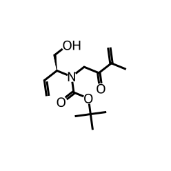 C=C[C@@H](CO)N(CC(=O)C(=C)C)C(=O)OC(C)(C)C